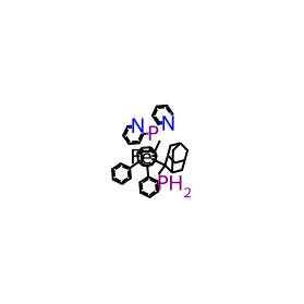 PCC1([C]23[C]4(CP(c5ccccn5)c5ccccn5)[CH]5[C]6(c7ccccc7)[C]2(c2ccccc2)[Fe]54632789[CH]3[CH]2[CH]7[CH]8[CH]39)C2CC3CC(C2)CC1C3